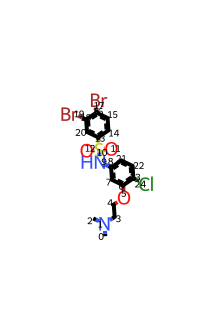 CN(C)CCOc1cc(NS(=O)(=O)c2ccc(Br)c(Br)c2)ccc1Cl